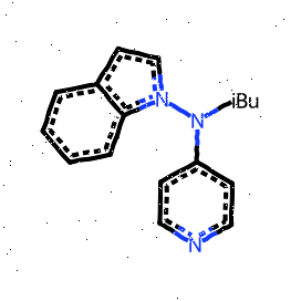 CCC(C)N(c1ccncc1)n1ccc2ccccc21